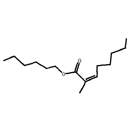 CCCCCC=C(C)C(=O)OCCCCCC